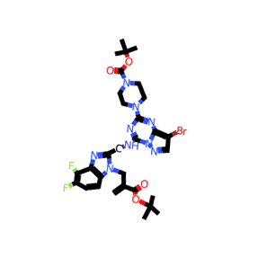 C=C(Cn1c(CNc2nc(N3CCN(C(=O)OC(C)(C)C)CC3)nc3c(Br)cnn23)nc2c(F)c(F)ccc21)C(=O)OC(C)(C)C